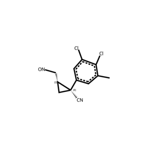 Cc1cc([C@@]2(C#N)C[C@@H]2CN=O)cc(Cl)c1Cl